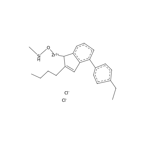 CCCCC1=Cc2c(-c3ccc(CC)cc3)cccc2[CH]1[Zr+2][O][SiH](C)C.[Cl-].[Cl-]